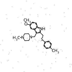 COc1ccc2[nH]c(CSc3ccc(C)cc3)c(CN3CCN(C)CC3)c2c1